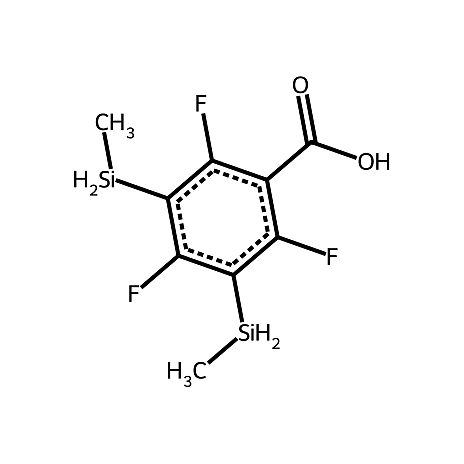 C[SiH2]c1c(F)c([SiH2]C)c(F)c(C(=O)O)c1F